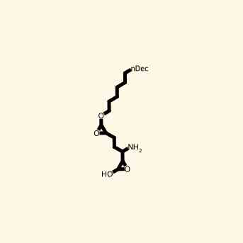 CCCCCCCCCCCCCCCCOC1OC1CCC(N)C1OC1O